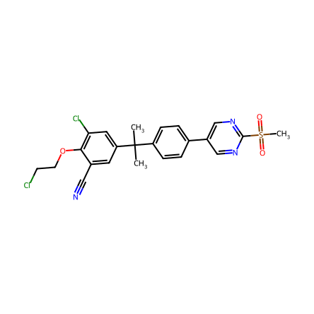 CC(C)(c1ccc(-c2cnc(S(C)(=O)=O)nc2)cc1)c1cc(Cl)c(OCCCl)c(C#N)c1